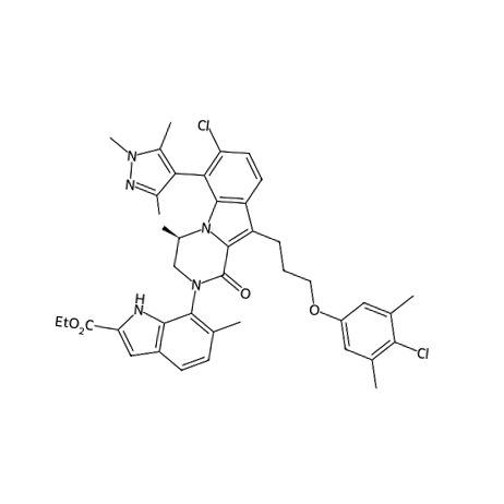 CCOC(=O)c1cc2ccc(C)c(N3C[C@@H](C)n4c(c(CCCOc5cc(C)c(Cl)c(C)c5)c5ccc(Cl)c(-c6c(C)nn(C)c6C)c54)C3=O)c2[nH]1